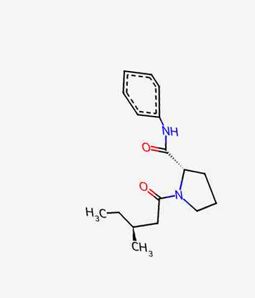 CC[C@H](C)CC(=O)N1CCC[C@H]1C(=O)Nc1ccccc1